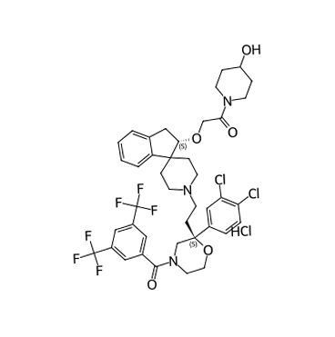 Cl.O=C(CO[C@H]1Cc2ccccc2C12CCN(CC[C@]1(c3ccc(Cl)c(Cl)c3)CN(C(=O)c3cc(C(F)(F)F)cc(C(F)(F)F)c3)CCO1)CC2)N1CCC(O)CC1